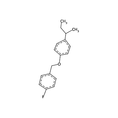 CCC(C)c1ccc(OCc2ccc(F)cc2)cc1